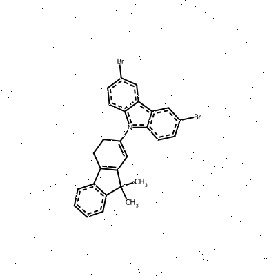 CC1(C)C2=C(CCC(n3c4ccc(Br)cc4c4cc(Br)ccc43)=C2)c2ccccc21